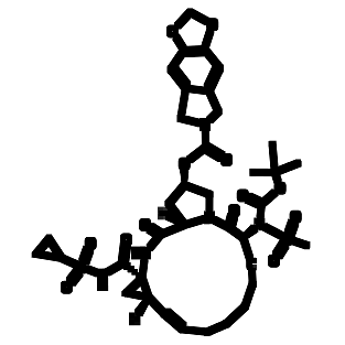 CC(C)(C)OC(=O)N([C@H]1CCCCC/C=C\[C@@H]2C[C@@]2(C(=O)NS(=O)(=O)C2CC2)NC(=O)[C@@H]2C[C@@H](OC(=O)N3Cc4cc5c(cc4C3)OCO5)CN2C1=O)S(C)(=O)=O